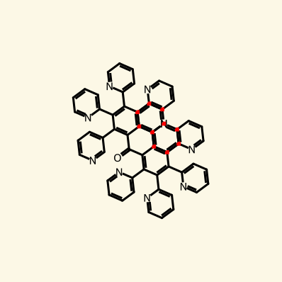 O=C(c1c(-c2cccnc2)c(-c2ccccn2)c(-c2ccccn2)c(-c2ccccn2)c1-c1ccccn1)c1c(-c2ccccn2)c(-c2ccccn2)c(-c2ccccn2)c(-c2ccccn2)c1-c1ccccn1